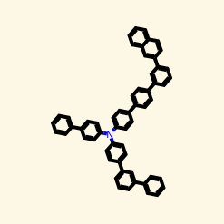 c1ccc(-c2ccc(N(c3ccc(-c4ccc(-c5cccc(-c6ccc7ccccc7c6)c5)cc4)cc3)c3ccc(-c4cccc(-c5ccccc5)c4)cc3)cc2)cc1